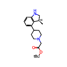 C[C@@H]1CNc2cccc(C3CCN(CC(=O)OC(C)(C)C)CC3)c21